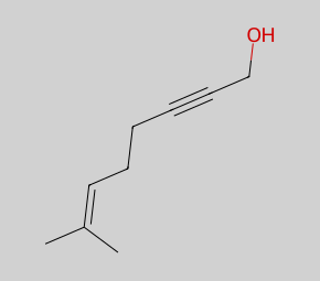 CC(C)=CCCC#CCO